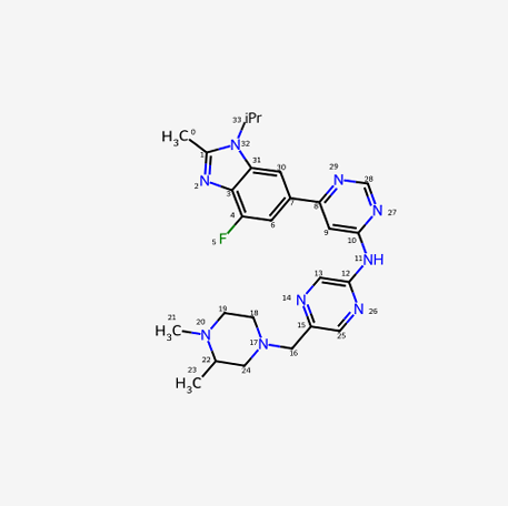 Cc1nc2c(F)cc(-c3cc(Nc4cnc(CN5CCN(C)C(C)C5)cn4)ncn3)cc2n1C(C)C